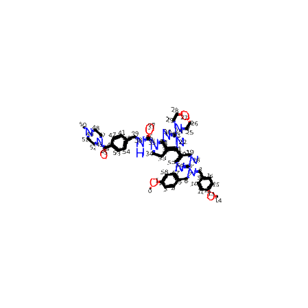 COc1ccc(CN(Cc2ccc(OC)cc2)c2ncc(-c3nc(N4CCOCC4)nc4c3CCN4C(=O)NCc3ccc(C(=O)N4CCN(C)CC4)cc3)cn2)cc1